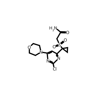 NC(=O)CS(=O)(=O)C1(c2cc(N3CCOCC3)nc(Cl)n2)CC1